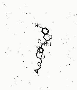 N#Cc1ccc2c(c1)CC(NC(=O)c1cc3n(n1)CCC(COCC1CC1)O3)CO2